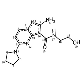 Nc1nn2ccc(N3CCCC3)nc2c1C(=O)NCCO